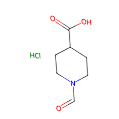 Cl.O=CN1CCC(C(=O)O)CC1